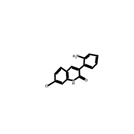 Nc1ccccc1-c1cc2ccc(Cl)cc2[nH]c1=O